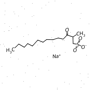 CCCCCCCCCCCC(=O)C(C)CS(=O)(=O)[O-].[Na+]